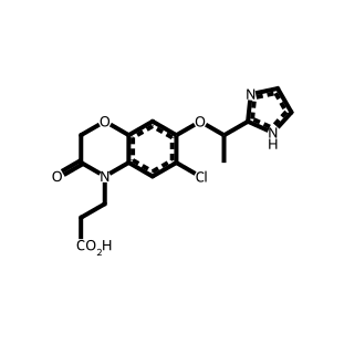 CC(Oc1cc2c(cc1Cl)N(CCC(=O)O)C(=O)CO2)c1ncc[nH]1